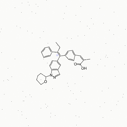 CC/C(=C(\c1ccc(C=C(C)C(=O)O)cc1)c1ccc2c(cnn2C2CCCCO2)c1)c1ccccc1